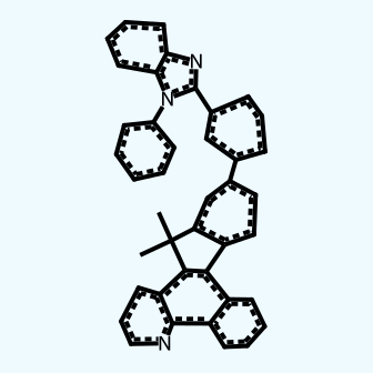 CC1(C)c2cc(-c3cccc(-c4nc5ccccc5n4-c4ccccc4)c3)ccc2-c2c1c1cccnc1c1ccccc21